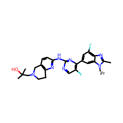 Cc1nc2c(F)cc(-c3nc(Nc4ccc5c(n4)CCN(CC(C)(C)O)C5)ncc3F)cc2n1C(C)C